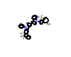 CCCC1CCCC(C)c2cc(-n3c4ccccc4c4cc(-c5ccc6c(c5)c5cc7c(cc5n6-c5ccccc5)C(C)(C)c5ccccc5-7)ccc43)ccc2C1